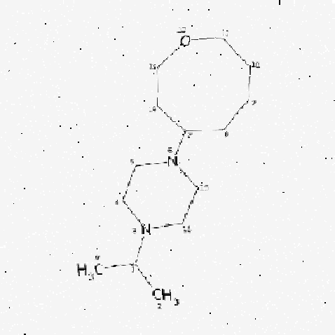 CC(C)N1CCN(C2CCCCOCC2)CC1